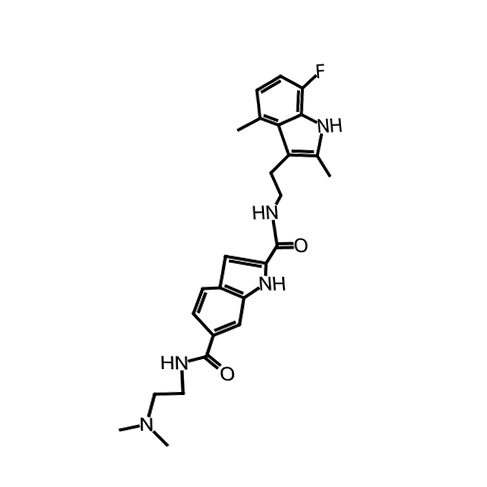 Cc1[nH]c2c(F)ccc(C)c2c1CCNC(=O)c1cc2ccc(C(=O)NCCN(C)C)cc2[nH]1